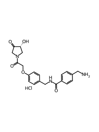 Cl.NCc1ccc(C(=O)NCc2ccc(OCC(=O)N3CC(=O)[C@H](O)C3)cc2)cc1